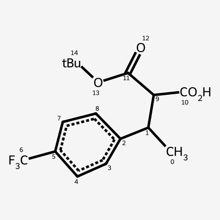 CC(c1ccc(C(F)(F)F)cc1)C(C(=O)O)C(=O)OC(C)(C)C